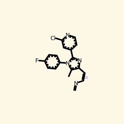 C=N/C=C\c1nc(-c2ccnc(Cl)c2)n(-c2ccc(F)cc2)c1C